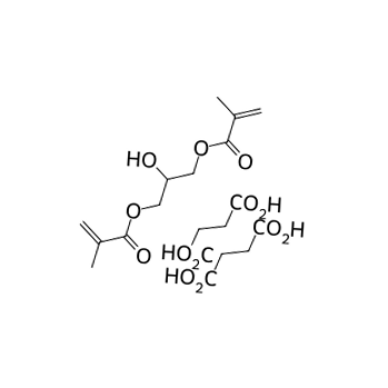 C=C(C)C(=O)OCC(O)COC(=O)C(=C)C.O=C(O)CCC(=O)O.O=C(O)CCC(=O)O